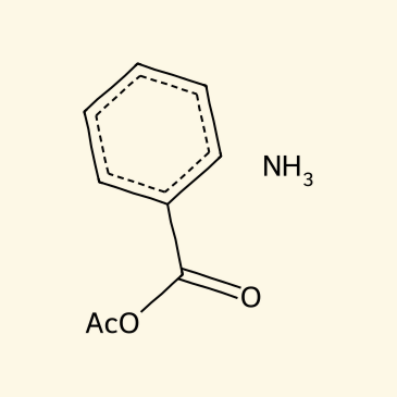 CC(=O)OC(=O)c1ccccc1.N